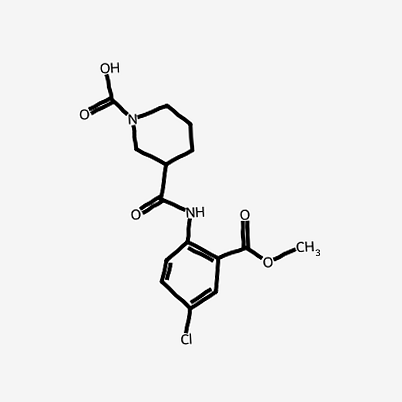 COC(=O)c1cc(Cl)ccc1NC(=O)C1CCCN(C(=O)O)C1